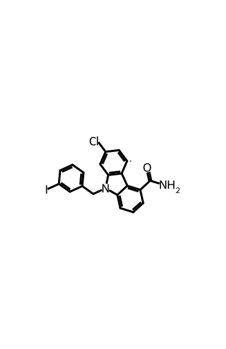 NC(=O)c1cccc2c1c1[c]cc(Cl)cc1n2Cc1cccc(I)c1